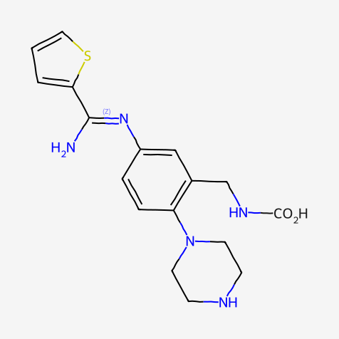 N/C(=N\c1ccc(N2CCNCC2)c(CNC(=O)O)c1)c1cccs1